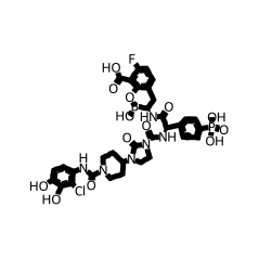 O=C(O)c1c(F)ccc2c1OB(O)[C@@H](NC(=O)[C@H](NC(=O)N1CCN(C3CCN(C(=O)Nc4ccc(O)c(O)c4Cl)CC3)C1=O)c1ccc(P(=O)(O)O)cc1)C2